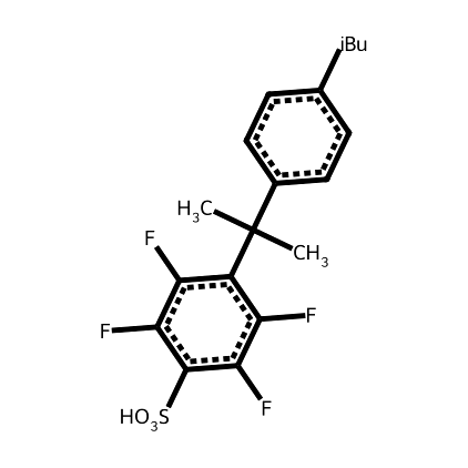 CCC(C)c1ccc(C(C)(C)c2c(F)c(F)c(S(=O)(=O)O)c(F)c2F)cc1